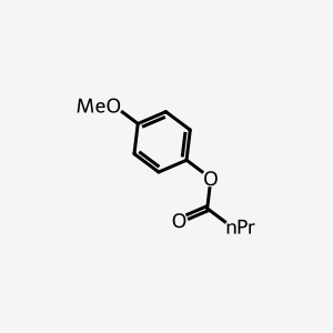 CCCC(=O)Oc1ccc(OC)cc1